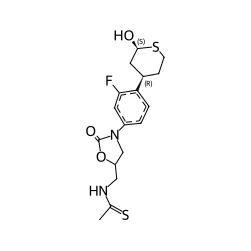 CC(=S)NCC1CN(c2ccc([C@@H]3CCS[C@H](O)C3)c(F)c2)C(=O)O1